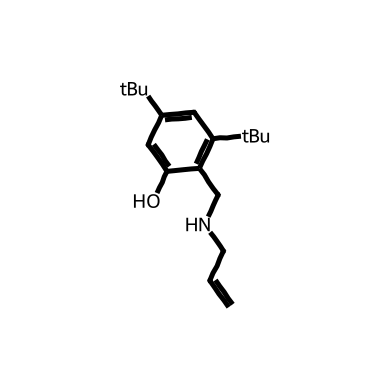 C=CCNCc1c(O)cc(C(C)(C)C)cc1C(C)(C)C